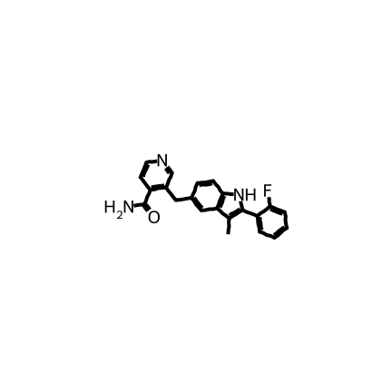 Cc1c(-c2ccccc2F)[nH]c2ccc(Cc3cnccc3C(N)=O)cc12